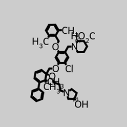 Cc1cccc(C)c1COc1cc(OCC2(OCCCN3CC[C@@H](O)C3)C=CC=C(c3ccccc3)C2(C)C)c(Cl)cc1CN1CCCC[C@H]1C(=O)O